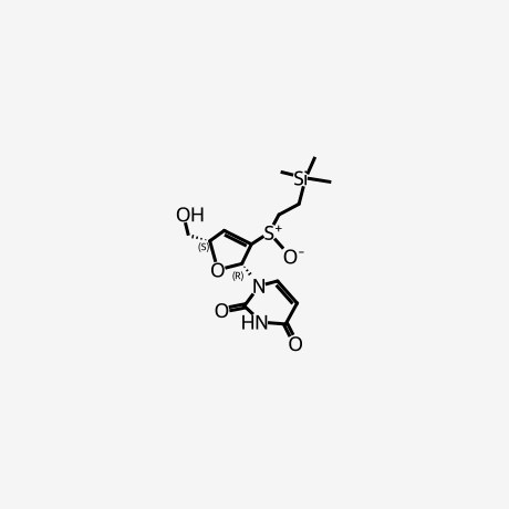 C[Si](C)(C)CC[S+]([O-])C1=C[C@@H](CO)O[C@H]1n1ccc(=O)[nH]c1=O